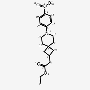 CCOC(=O)CC1CC2(CCN(c3ccc([N+](=O)[O-])cc3)CC2)C1